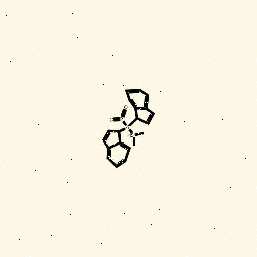 C[SiH](C)[Zr]([CH]1C=Cc2ccccc21)([CH]1C=Cc2ccccc21)[P](=O)=O